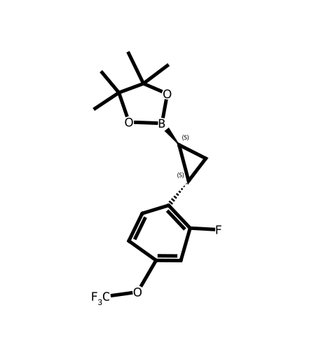 CC1(C)OB([C@H]2C[C@@H]2c2ccc(OC(F)(F)F)cc2F)OC1(C)C